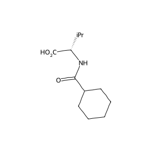 CC(C)[C@H](NC(=O)C1CCCCC1)C(=O)O